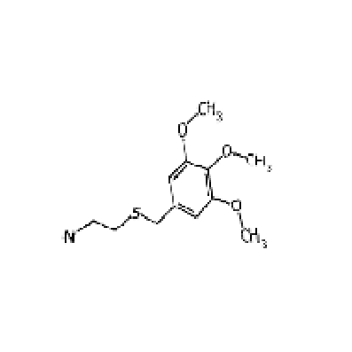 COc1cc(CSCC[N])cc(OC)c1OC